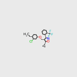 C=Cc1ccc(OCc2c(-c3ccccc3C(F)(F)F)noc2C2CC2)cc1Cl